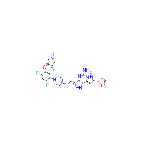 Nc1nc2c(ncn2CCN2CCN(c3cc(O[C@H]4CNC[C@@H]4F)c(F)cc3F)CC2)c2cc(-c3ccco3)nn12